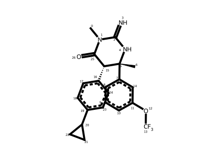 CN1C(=N)N[C@](C)(c2cccc(OC(F)(F)F)c2)[C@H](c2ccc(C3CC3)cc2)C1=O